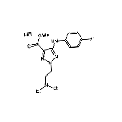 CCN(CC)CCn1nc(Nc2ccc(Br)cc2)c(C(=O)OC)n1.Cl